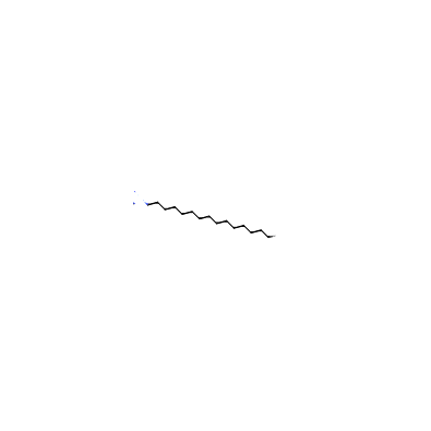 CCCCCCCCCCCCCCCCCCCCCCCCC[N+](C)(C)CC